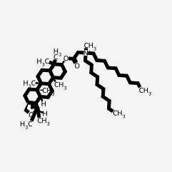 CCCCCCCCCC[N+](C)(CCCCCCCCCC)CC(=O)O[C@H]1CC[C@@]2(C)C(CC[C@]3(C)C2CC[C@@H]2C4[C@H]5OC[C@@]4(CCC5(C)C)CC[C@]23C)C1(C)C